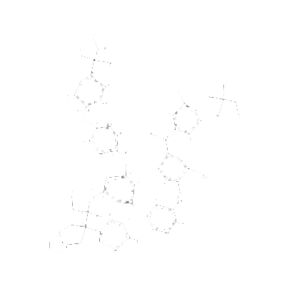 CCC(C)(C)Oc1ccc(C(C)c2ccc(Oc3ccc(Oc4ccc(C(CC)(CN)C(C)(CC)Oc5cccc(Oc6ccc(Oc7ccc(C(C)(C)CC)cc7)cc6)c5)cc4)cc3)c(C)c2)cc1C